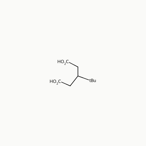 CC(C)(C)C(CC(=O)O)CC(=O)O